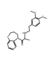 COc1ccc(CCNC(C)C(=O)N2CCCSc3ccccc32)cc1OC